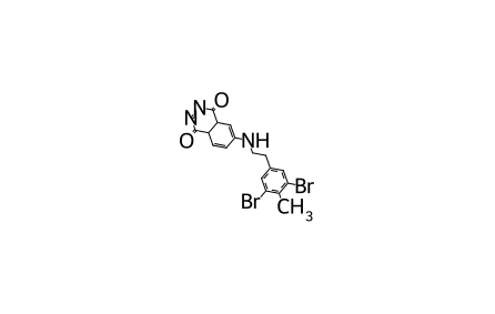 Cc1c(Br)cc(CCNC2=CC3C(=O)N=NC(=O)C3C=C2)cc1Br